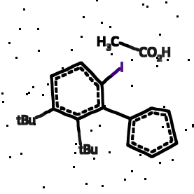 CC(=O)O.CC(C)(C)c1ccc(I)c(-c2ccccc2)c1C(C)(C)C